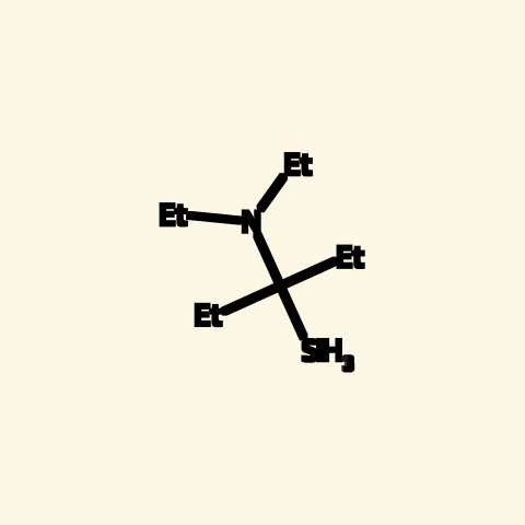 CCN(CC)C([SiH3])(CC)CC